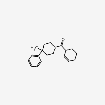 CC1(c2ccccc2)CCN(C(=O)C2C=CCCC2)CC1